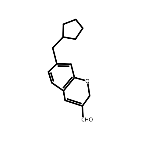 O=CC1=Cc2ccc(CC3CCCC3)cc2OC1